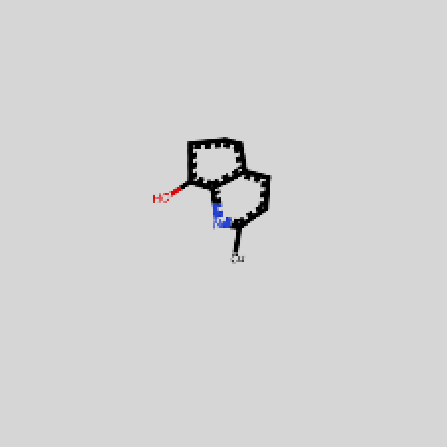 Oc1cccc2cc[c]([Cu])nc12